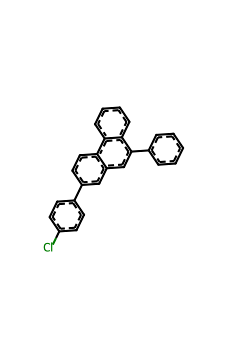 Clc1ccc(-c2ccc3c(c2)cc(-c2ccccc2)c2ccccc23)cc1